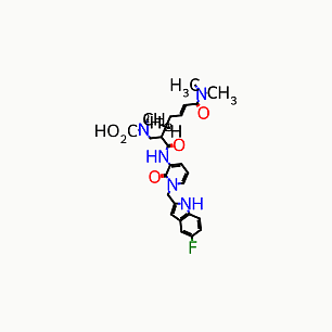 [2H]C([2H])(C/C=C/C(=O)N(C)C)C(CN(C)C(=O)O)C(=O)Nc1cccn(Cc2cc3cc(F)ccc3[nH]2)c1=O